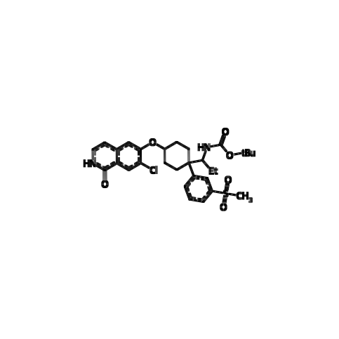 CCC(NC(=O)OC(C)(C)C)C1(c2cccc(S(C)(=O)=O)c2)CCC(Oc2cc3cc[nH]c(=O)c3cc2Cl)CC1